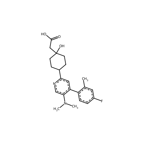 Cc1cc(F)ccc1-c1cc(C2CCC(O)(CC(=O)O)CC2)ncc1N(C)C